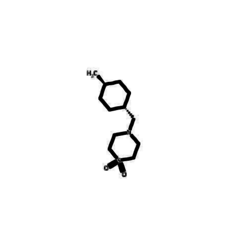 C[C@H]1CC[C@H](CN2CCS(=O)(=O)CC2)CC1